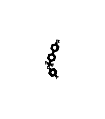 CCC1C=CC(C2CCC(C(F)(F)Oc3ccc(F)cc3)CC2)CC1